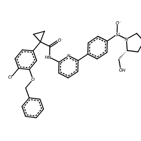 O=C(Nc1cccc(-c2ccc([S+]([O-])N3CCC[C@@H]3CO)cc2)n1)C1(c2ccc(Cl)c(OCc3ccccc3)c2)CC1